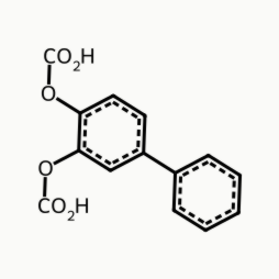 O=C(O)Oc1ccc(-c2ccccc2)cc1OC(=O)O